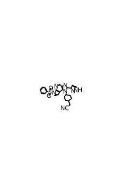 N#CCC1CCC(n2c(-c3cc[nH]n3)nc3cnc4c(ccn4S(=O)(=O)c4ccccc4)c32)CC1